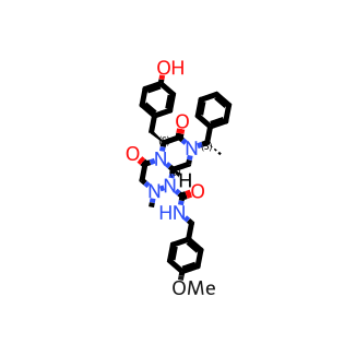 COc1ccc(CNC(=O)N2[C@H]3CN([C@@H](C)c4ccccc4)C(=O)[C@H](Cc4ccc(O)cc4)N3C(=O)CN2C)cc1